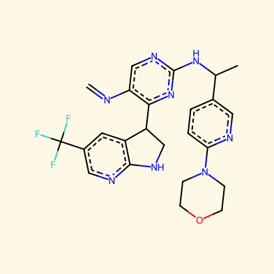 C=Nc1cnc(NC(C)c2ccc(N3CCOCC3)nc2)nc1C1CNc2ncc(C(F)(F)F)cc21